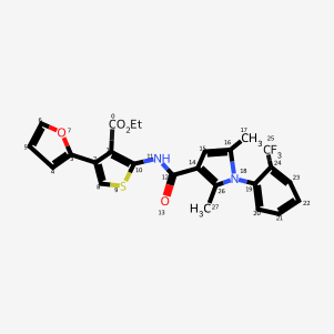 CCOC(=O)c1c(-c2ccco2)csc1NC(=O)c1cc(C)n(-c2ccccc2C(F)(F)F)c1C